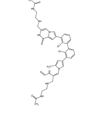 CC(=O)NCCNC/C(=C/n1cc(-c2cccc(-c3cccc(-c4cc5c(=O)[nH]c(CNCCNC(C)=O)cn5c4)c3Cl)c2Cl)cc1C)NC=O